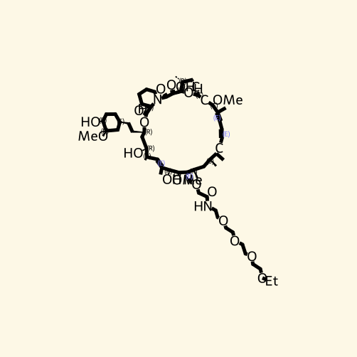 CCOCCOCCOCCOCCNC(=O)CO/N=C1\[C@H](C)C[C@H](C)C(C)C/C=C/C=C(\C)[C@@H](OC)C[C@@H]2CC[C@@H](C)[C@@](O)(O2)C(=O)C(=O)N2CCCC[C@H]2C(=O)O[C@H](CC[C@@H]2CC[C@@H](O)[C@H](OC)C2)C[C@@H](O)[C@H](C)/C=C(\C)[C@@H](O)[C@H]1OC